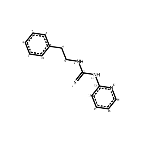 S=C(NCCc1ccccc1)Nc1ccccn1